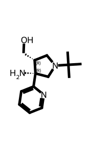 CC(C)(C)N1C[C@@H](CO)[C@](N)(c2ccccn2)C1